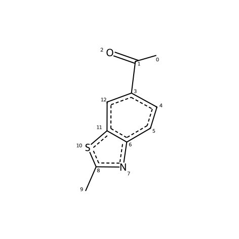 CC(=O)c1ccc2nc(C)sc2c1